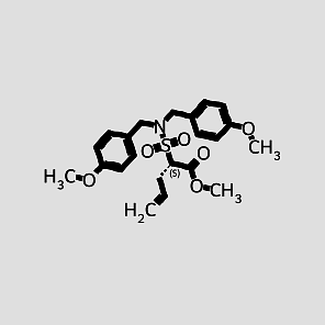 C=CC[C@@H](C(=O)OC)S(=O)(=O)N(Cc1ccc(OC)cc1)Cc1ccc(OC)cc1